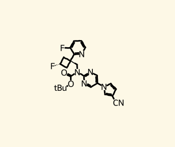 CC(C)(C)OC(=O)N(C[C@]1(c2ncccc2F)C[C@@H](F)C1)c1ncc(-n2ccc(C#N)c2)cn1